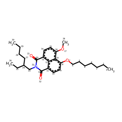 CCCCCCCOc1ccc2c3c(ccc(OC)c13)C(=O)N(CC(CC)CCCC)C2=O